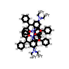 CC(C)CN(CC(C)C)c1cc(C(c2ccccc2)c2ccccc2)c(N2C=[N+](c3c(C(c4ccccc4)c4ccccc4)cc(N(CC(C)C)CC(C)C)cc3C(c3ccccc3)c3ccccc3)CC2)c(C(c2ccccc2)c2ccccc2)c1